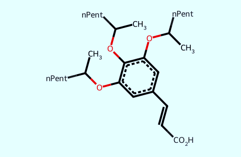 CCCCCC(C)Oc1cc(C=CC(=O)O)cc(OC(C)CCCCC)c1OC(C)CCCCC